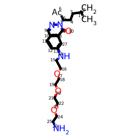 C=C(C)CCC(C(C)=O)n1ncc2ccc(NCCOCCOCCOCCN)cc2c1=O